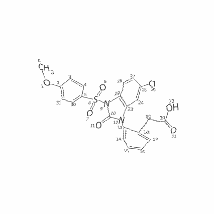 COc1ccc(S(=O)(=O)n2c(=O)n(-c3ccccc3CC(=O)O)c3cc(Cl)ccc32)cc1